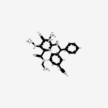 CCOC(=O)c1nc(NC(c2ccccc2)c2cccc(C#N)c2)n(C)c(=O)c1OC